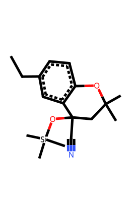 CCc1ccc2c(c1)C(C#N)(O[Si](C)(C)C)CC(C)(C)O2